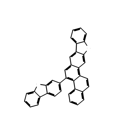 c1ccc2c(c1)ccc1c3cc4oc5ccccc5c4cc3cc(-c3ccc4c(c3)oc3ccccc34)c21